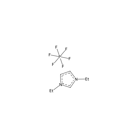 CCn1cc[n+](CC)c1.F[P-](F)(F)(F)(F)F